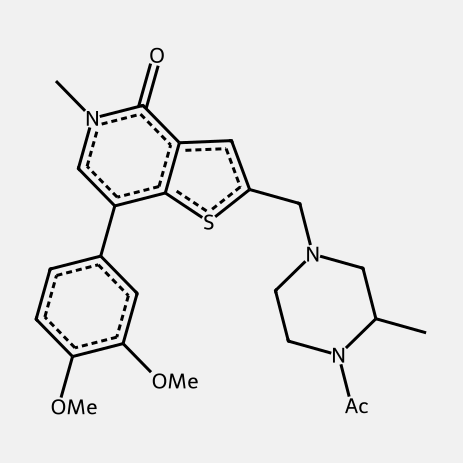 COc1ccc(-c2cn(C)c(=O)c3cc(CN4CCN(C(C)=O)C(C)C4)sc23)cc1OC